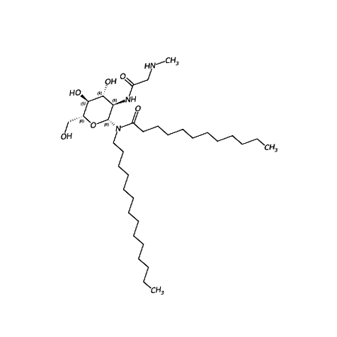 CCCCCCCCCCCCCCN(C(=O)CCCCCCCCCCC)[C@@H]1O[C@H](CO)[C@@H](O)[C@H](O)[C@H]1NC(=O)CNC